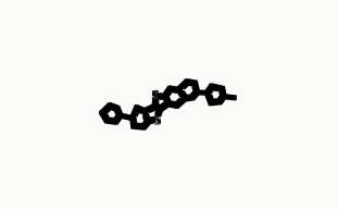 Cc1ccc(-c2ccc3cc4sc5c6cc(-c7ccccc7)ccc6sc5c4cc3c2)cc1